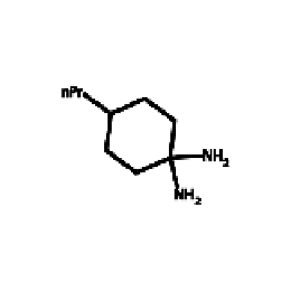 CCCC1CCC(N)(N)CC1